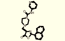 O=C1OC(c2cccc3ccccc23)=NC1=CN1CCN(C(=O)Nc2cccnc2)CC1